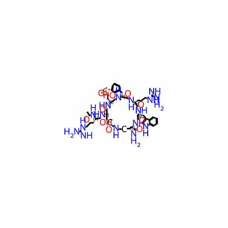 CC(=O)N[C@@H](CCCNC(=N)N)C(O)N[C@H]1CCC(=O)NCCC[C@@H](C(N)=O)NC(=O)[C@H](Cc2c[nH]c3ccccc23)NC(=O)[C@H](CCCNC(=N)N)NC(=O)[C@@H](Cc2ccccc2)NC(O)[C@H](CC[S+](C)[O-])NC1=O